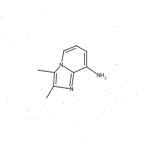 Cc1nc2c(N)cccn2c1C